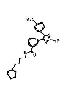 CCCn1nc(-c2ccc(OC)cc2)c(-c2cccc(C(=O)NCCCCc3ccccc3)c2)n1